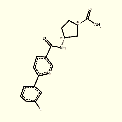 NC(=O)[C@H]1CC[C@@H](NC(=O)c2ccc(-c3cccc(F)c3)nc2)C1